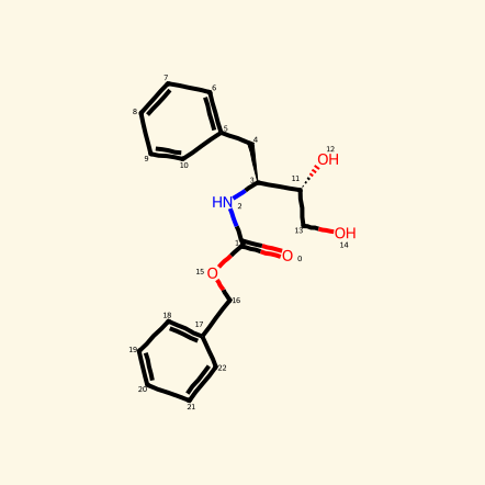 O=C(N[C@@H](Cc1ccccc1)[C@H](O)CO)OCc1ccccc1